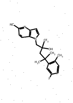 Cc1ccc(F)cc1C(C)(C)CC(O)(Cn1ccc2nc(C#N)ccc21)C(F)(F)F